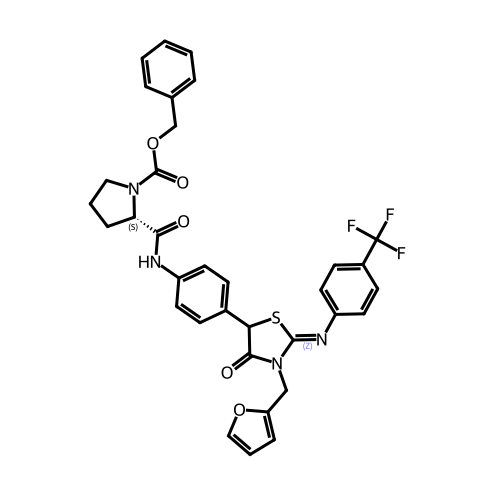 O=C(Nc1ccc(C2S/C(=N\c3ccc(C(F)(F)F)cc3)N(Cc3ccco3)C2=O)cc1)[C@@H]1CCCN1C(=O)OCc1ccccc1